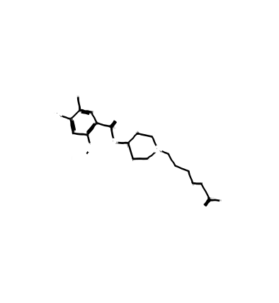 COc1cc(N)c(Cl)cc1C(=O)NC1CCN(CCCCCC(=O)O)CC1